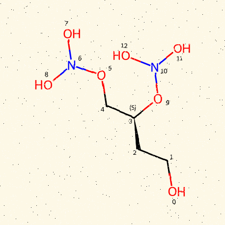 OCC[C@@H](CON(O)O)ON(O)O